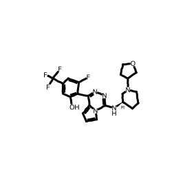 Oc1cc(C(F)(F)F)cc(F)c1-c1nnc(N[C@@H]2CCCN(C3CCOC3)C2)n2cccc12